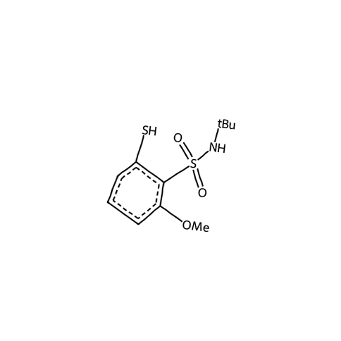 COc1cccc(S)c1S(=O)(=O)NC(C)(C)C